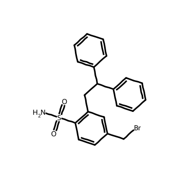 NS(=O)(=O)c1ccc(CBr)cc1CC(c1ccccc1)c1ccccc1